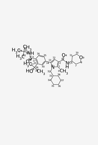 Cc1c(C(=O)NC2CCOCC2)cc(-c2ccc([S+]([O-])NC(C)(C)C)c(C(C)(C)O)c2)n1CC1CCCCC1